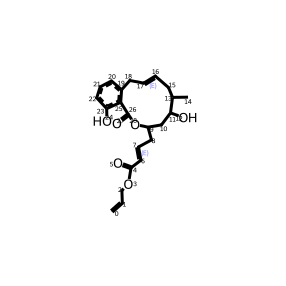 C=CCOC(=O)/C=C/CC1CC(O)C(C)C/C=C/Cc2cccc(O)c2C(=O)O1